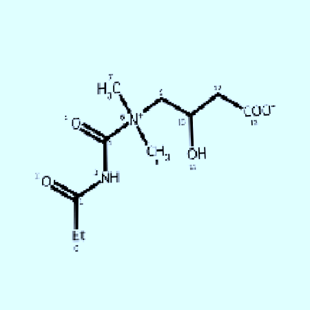 CCC(=O)NC(=O)[N+](C)(C)CC(O)CC(=O)[O-]